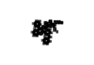 CN[C@@H](C)C(=O)N[C@H](C(=O)N1CCN(Cc2ccccc2)C[C@H]1C(=O)NC(c1ccccc1)c1ccccc1)C(C)C